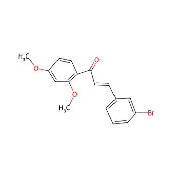 COc1ccc(C(=O)/C=C/c2cccc(Br)c2)c(OC)c1